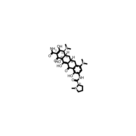 CN(C)c1cc(NC(=O)[C@H]2CCCN2C)c(O)c2c1C[C@H]1C[C@H]3[C@H](N(C)C)C(O)=C(C(N)=O)C(=O)[C@@]3(O)C(O)=C1C2=O